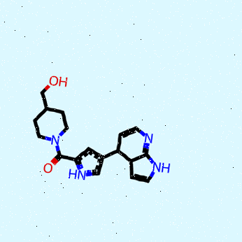 O=C(c1cc(C2C=CN=C3NC=CC32)c[nH]1)N1CCC(CO)CC1